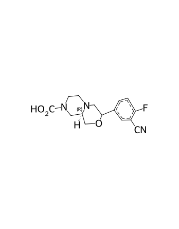 N#Cc1cc(C2CN3CCN(C(=O)O)C[C@@H]3CO2)ccc1F